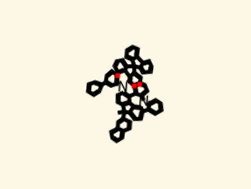 CC1(c2ccc3ccccc3c2)c2ccc(N(c3cccc(-c4ccccc4)c3)c3cccc4c3-c3ccccc3C43c4ccccc4-c4ccccc43)c3c2-c2c1ccc1c4ccccc4n(c21)-c1ccccc1-3